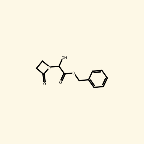 O=C(OCc1ccccc1)C(O)N1CCC1=O